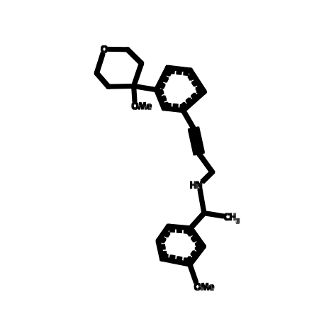 COc1cccc(C(C)NCC#Cc2cccc(C3(OC)CCOCC3)c2)c1